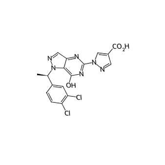 C[C@H](c1ccc(Cl)c(Cl)c1)n1ncc2nc(-n3cc(C(=O)O)cn3)nc(O)c21